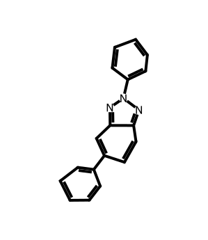 c1ccc(-c2ccc3nn(-c4ccccc4)nc3c2)cc1